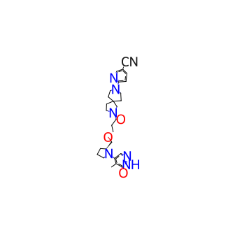 Cc1c(N2CCC[C@H]2COCCC(=O)N2CCC3(CCN(c4ccc(C#N)cn4)CC3)C2)cn[nH]c1=O